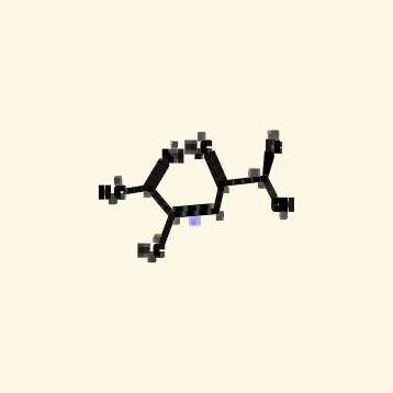 C=C(/C=C(/C)C(C)=N)[C@H](O)CC